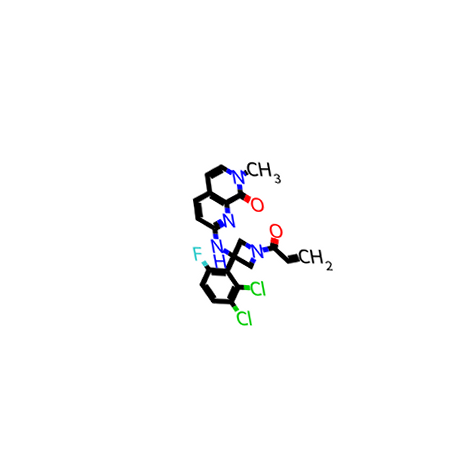 C=CC(=O)N1CC(Nc2ccc3ccn(C)c(=O)c3n2)(c2c(F)ccc(Cl)c2Cl)C1